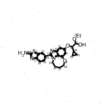 CCOC(O)C(Oc1cc2c3c(c1)nc(-c1ccc4nc(N)sc4c1)n3CCCCO2)C1CC1